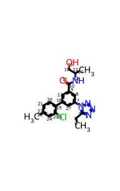 CCc1nnnn1-c1cc(C(=O)NC(C)CO)cc(-c2ccc(C)cc2Cl)c1